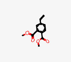 C=Cc1ccc(C(=O)OC)c(C(=O)OC)c1